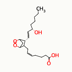 CCCCC[C@H](O)/C=C/[C@H]1C2CC(OO2)C1C/C=C\CCCC(=O)O